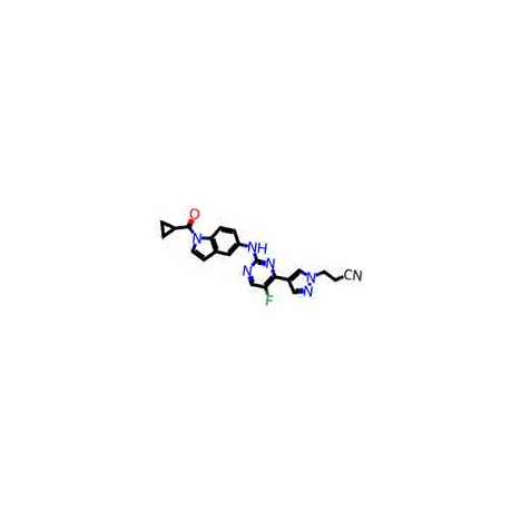 N#CCCn1cc(-c2nc(Nc3ccc4c(ccn4C(=O)C4CC4)c3)ncc2F)cn1